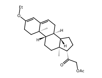 CCOC1=CC2=CC[C@H]3[C@@H]4CC[C@H](C(=O)COC(C)=O)[C@@]4(C)CC[C@@H]3[C@@]2(C)CC1